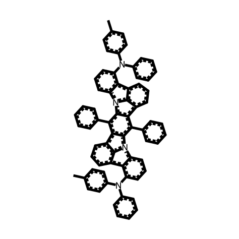 Cc1ccc(N(c2ccccc2)c2cccc3c2c2cccc4c5c(-c6ccccc6)c6c(c(-c7ccccc7)c5n3c24)c2cccc3c4c(N(c5ccccc5)c5ccc(C)cc5)cccc4n6c32)cc1